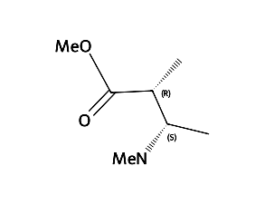 CN[C@@H](C)[C@@H](C)C(=O)OC